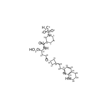 CS(=O)(=O)N1CCC[C@@H](C(=O)N[C@@H](CCO[C@H]2C[C@H](CCc3ccc4c(n3)NCCC4)C2)C(=O)O)C1